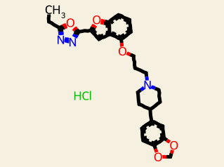 CCc1nnc(-c2cc3c(OCCCN4CCC(c5ccc6c(c5)OCO6)CC4)cccc3o2)o1.Cl